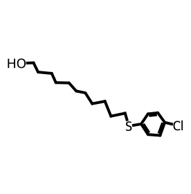 OCCCCCCCCCCCSc1ccc(Cl)cc1